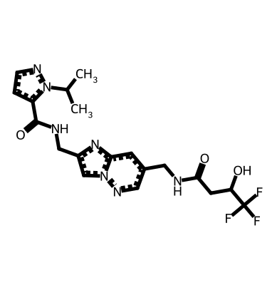 CC(C)n1nccc1C(=O)NCc1cn2ncc(CNC(=O)CC(O)C(F)(F)F)cc2n1